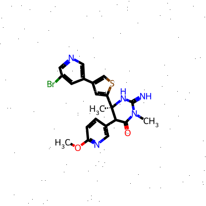 COc1ccc(C2C(=O)N(C)C(=N)N[C@]2(C)c2cc(-c3cncc(Br)c3)cs2)cn1